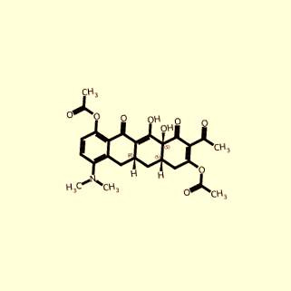 CC(=O)OC1=C(C(C)=O)C(=O)[C@@]2(O)C(O)=C3C(=O)c4c(OC(C)=O)ccc(N(C)C)c4C[C@H]3C[C@H]2C1